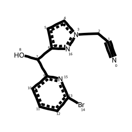 N#CCn1ccc(C(O)c2cccc(Br)n2)n1